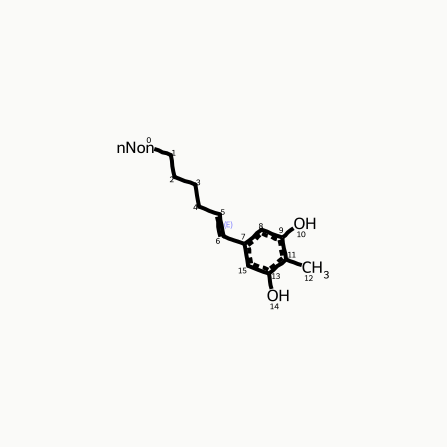 CCCCCCCCCCCCC/C=C/c1cc(O)c(C)c(O)c1